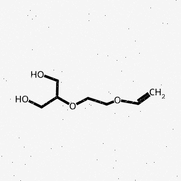 C=COCCOC(CO)CO